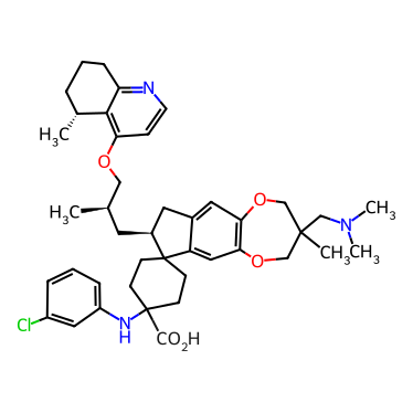 C[C@@H](COc1ccnc2c1[C@H](C)CCC2)C[C@H]1Cc2cc3c(cc2C12CCC(Nc1cccc(Cl)c1)(C(=O)O)CC2)OCC(C)(CN(C)C)CO3